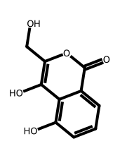 O=c1oc(CO)c(O)c2c(O)cccc12